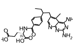 CCC(Cc1cnc2nc(N)nc(N)c2c1C)c1ccc(C(=O)N[C@@H](CCC(=O)O)C(=O)O)cc1